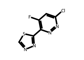 Fc1cc(Cl)nnc1-c1nncs1